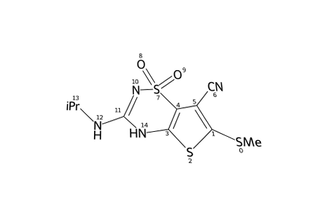 CSc1sc2c(c1C#N)S(=O)(=O)N=C(NC(C)C)N2